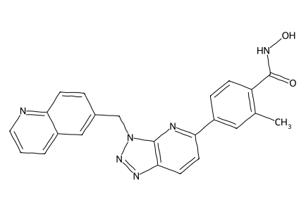 Cc1cc(-c2ccc3nnn(Cc4ccc5ncccc5c4)c3n2)ccc1C(=O)NO